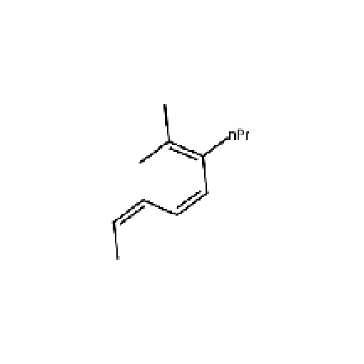 C/C=C\C=C/C(CCC)=C(C)C